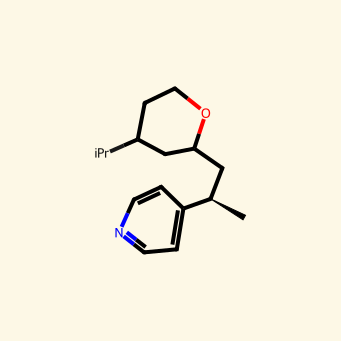 CC(C)C1CCOC(C[C@@H](C)c2ccncc2)C1